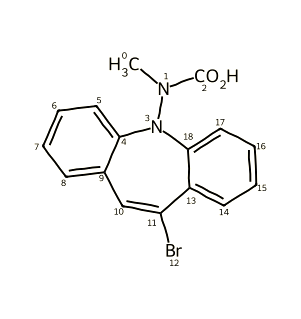 CN(C(=O)O)N1c2ccccc2C=C(Br)c2ccccc21